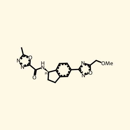 COCc1nc(-c2ccc3c(c2)CC[C@H]3NC(=O)c2nnc(C)o2)no1